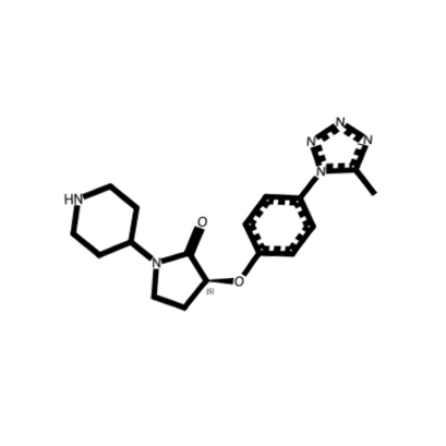 Cc1nnnn1-c1ccc(O[C@H]2CCN(C3CCNCC3)C2=O)cc1